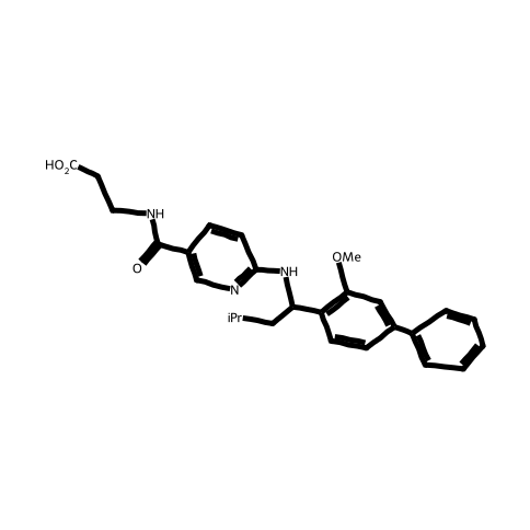 COc1cc(-c2ccccc2)ccc1C(CC(C)C)Nc1ccc(C(=O)NCCC(=O)O)cn1